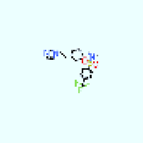 CN(C[C@H]1CC[C@H](CCn2ccnc2)CC1)S(=O)(=O)c1ccc(C(F)(F)F)cc1